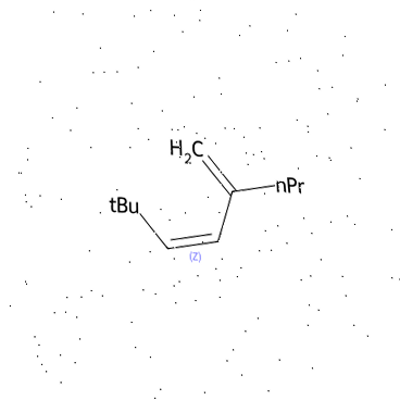 C=C(/C=C\C(C)(C)C)CCC